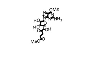 COC(=O)CCC(=O)C(O)[C@H]1O[C@@H](n2cnc3c(OC)nc(N)nc32)[C@@H](O)[C@@H]1O